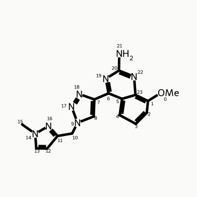 COc1cccc2c(-c3cn(Cc4ccn(C)n4)nn3)nc(N)nc12